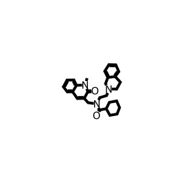 Cn1c(=O)c(CN(CCN2CCc3ccccc3C2)C(=O)C2CCCCC2)cc2ccccc21